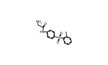 Cc1ccccc1S(=O)(=O)c1ccc(NC(=O)CN)cc1